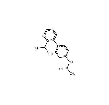 CC(=O)Nc1ccc(-c2cccnc2C(C)C)cc1